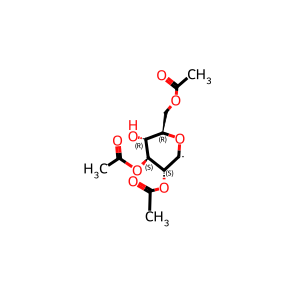 CC(=O)OC[C@H]1O[CH][C@H](OC(C)=O)[C@@H](OC(C)=O)[C@@H]1O